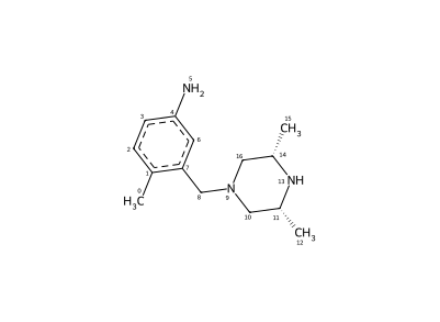 Cc1ccc(N)cc1CN1C[C@@H](C)N[C@@H](C)C1